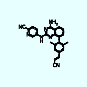 Cc1cc(C=CC#N)cc(C)c1-c1cccc2c(N)nc(Nc3ccc(C#N)nc3)nc12